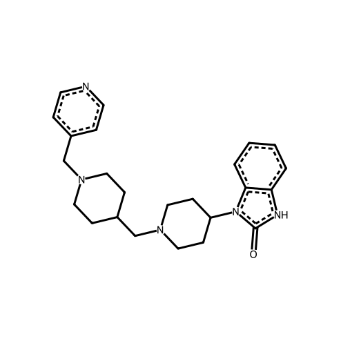 O=c1[nH]c2ccccc2n1C1CCN(CC2CCN(Cc3ccncc3)CC2)CC1